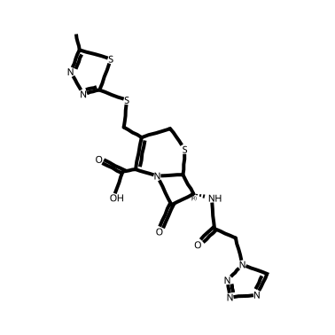 Cc1nnc(SCC2=C(C(=O)O)N3C(=O)[C@@H](NC(=O)Cn4cnnn4)C3SC2)s1